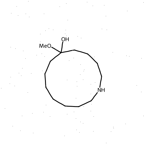 COC1(O)CCCCCCCNCCCC1